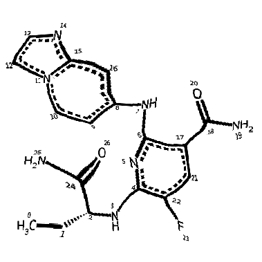 CC[C@@H](Nc1nc(Nc2ccn3ccnc3c2)c(C(N)=O)cc1F)C(N)=O